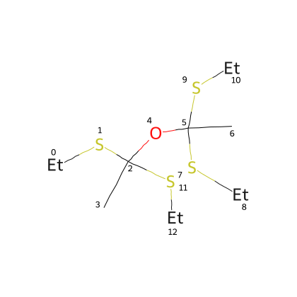 CCSC(C)(OC(C)(SCC)SCC)SCC